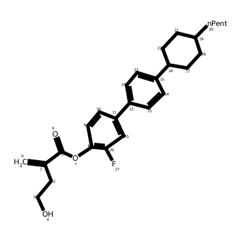 C=C(CCO)C(=O)Oc1ccc(-c2ccc(C3CCC(CCCCC)CC3)cc2)cc1F